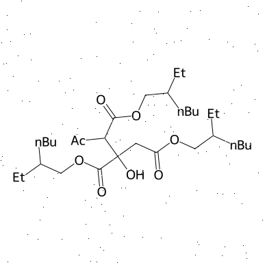 CCCCC(CC)COC(=O)CC(O)(C(=O)OCC(CC)CCCC)C(C(C)=O)C(=O)OCC(CC)CCCC